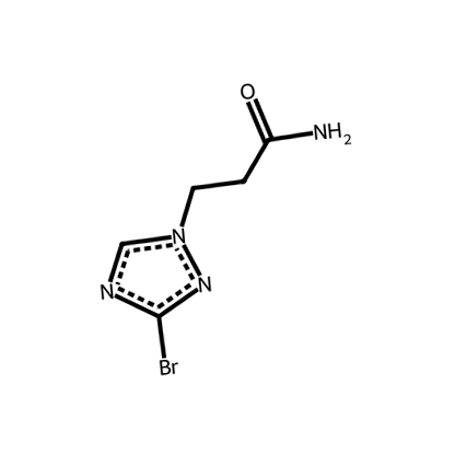 NC(=O)CCn1cnc(Br)n1